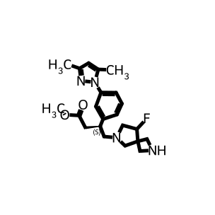 COC(=O)C[C@H](CN1CC(F)C2(CNC2)C1)c1cccc(-n2nc(C)cc2C)c1